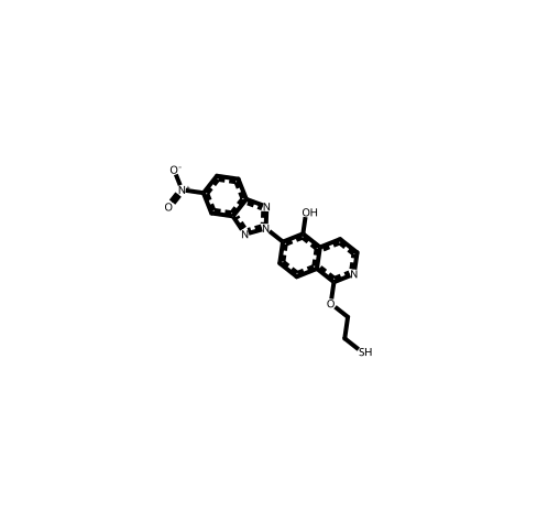 O=[N+]([O-])c1ccc2nn(-c3ccc4c(OCCS)nccc4c3O)nc2c1